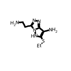 CCSc1[nH]n2c(CCN)nnc2c1N